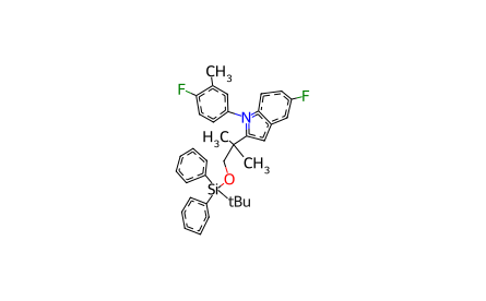 Cc1cc(-n2c(C(C)(C)CO[Si](c3ccccc3)(c3ccccc3)C(C)(C)C)cc3cc(F)ccc32)ccc1F